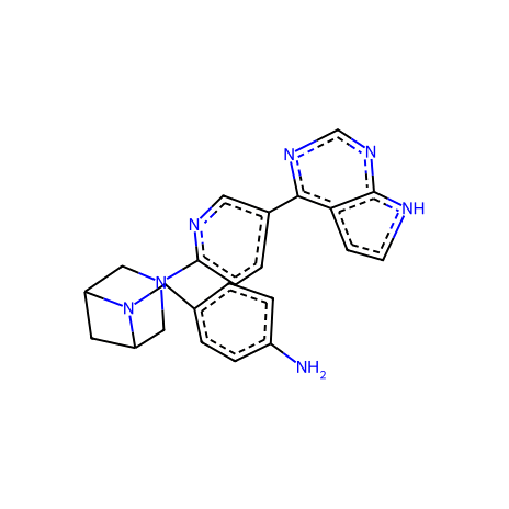 Nc1ccc(CN2C3CC2CN(c2ccc(-c4ncnc5[nH]ccc45)cn2)C3)cc1